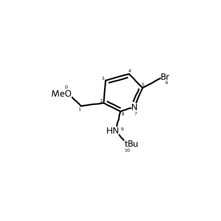 COCc1ccc(Br)nc1NC(C)(C)C